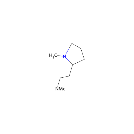 CNCCC1CCCN1C